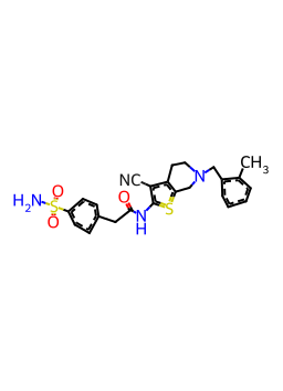 Cc1ccccc1CN1CCc2c(sc(NC(=O)Cc3ccc(S(N)(=O)=O)cc3)c2C#N)C1